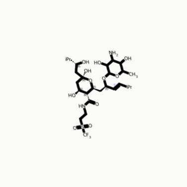 CC(C)/C=C/[C@@H](C[C@@H]1O[C@](O)(C[C@@H](O)C(C)C)C[C@H](O)[C@H]1C(=O)NCCS(=O)(=O)C(F)(F)F)OC1OC(C)C(O)C(N)C1O